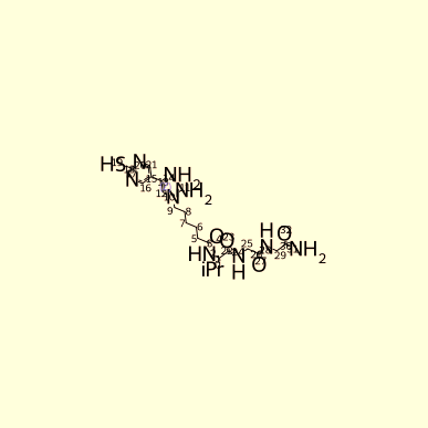 CC(C)C(NC(=O)CCCCCN(N)/C=C(\N)c1cnc(S)nc1)C(=O)NCC(=O)NCC(N)=O